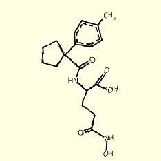 Cc1ccc(C2(C(=O)NC(CCC(=O)NO)C(=O)O)CCCC2)cc1